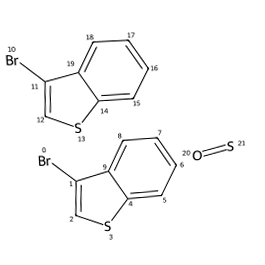 Brc1csc2ccccc12.Brc1csc2ccccc12.O=S